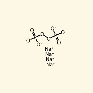 O=P([O-])([O-])OOP(=O)([O-])[O-].[Na+].[Na+].[Na+].[Na+]